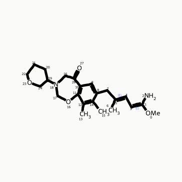 CO/C(N)=C/C=C(\C)Cc1cc2c(c(C)c1C)OCN(C1CCCOC1)CC2=O